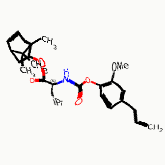 C=CCc1ccc(OC(=O)N[C@H](C(=O)OC2CC3CCC2(C)C3(C)C)C(C)C)c(OC)c1